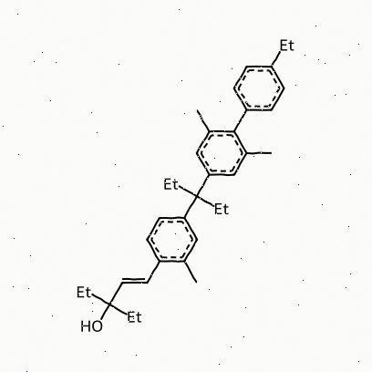 CCc1ccc(-c2c(C)cc(C(CC)(CC)c3ccc(/C=C/C(O)(CC)CC)c(C)c3)cc2C)cc1